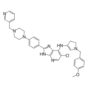 COc1ccc(CN2C=C(Nc3c(Cl)cnc4[nH]c(-c5ccc(N6CCN(Cc7cccnc7)CC6)cc5)nc34)CC2)cc1